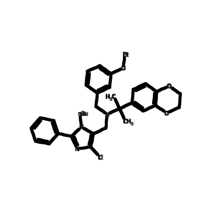 CCCCn1c(-c2ccccc2)nc(Cl)c1CN(Cc1cccc(OCC)c1)C(C)(C)c1ccc2c(c1)OCCO2